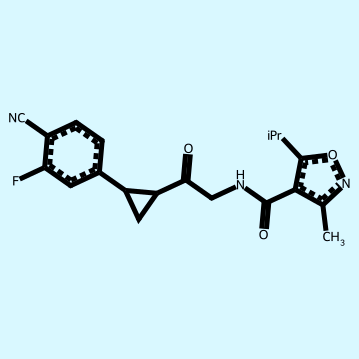 Cc1noc(C(C)C)c1C(=O)NCC(=O)C1CC1c1ccc(C#N)c(F)c1